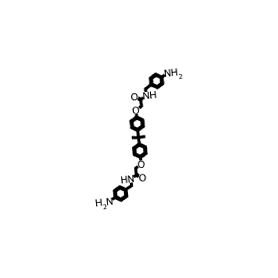 CC(C)(c1ccc(OCC(=O)NCc2ccc(N)cc2)cc1)c1ccc(OCC(=O)NCc2ccc(N)cc2)cc1